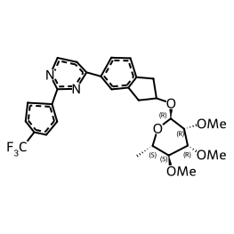 CO[C@@H]1[C@@H](OC)[C@H](C)O[C@@H](OC2Cc3ccc(-c4ccnc(-c5ccc(C(F)(F)F)cc5)n4)cc3C2)[C@@H]1OC